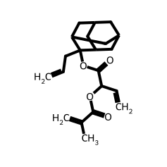 C=CCC1(OC(=O)C(C=C)OC(=O)C(=C)C)C2CC3CC(C2)CC1C3